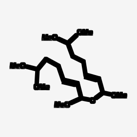 COC(C=CCCC(OC)OC)OC(C=CCCC(OC)OC)OC